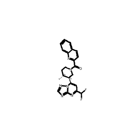 C[C@@H]1CCN(C(=O)c2ccc3ccccc3n2)C[C@H]1c1cc(C(F)F)nc2ncnn12